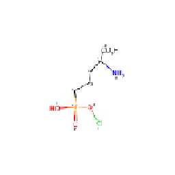 NC(CCCP(=O)(O)OCl)C(=O)O